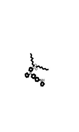 CCCCCCCC(=O)OC(=O)CCCCCCC.c1ccc(N(c2ccccc2)c2ccccc2)cc1.c1ccc(Nc2ccccc2)cc1